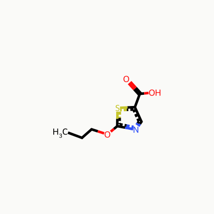 CCCOc1ncc(C(=O)O)s1